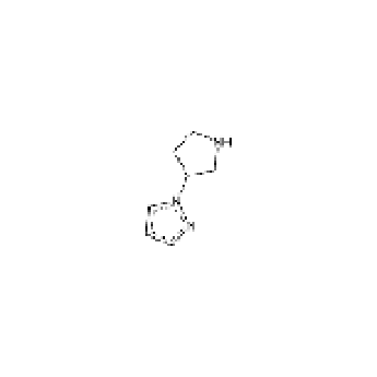 c1cnn(C2CCNC2)c1